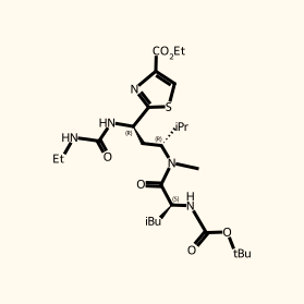 CCNC(=O)N[C@H](C[C@H](C(C)C)N(C)C(=O)[C@@H](NC(=O)OC(C)(C)C)C(C)CC)c1nc(C(=O)OCC)cs1